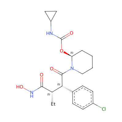 CC[C@H](C(=O)NO)[C@H](C(=O)N1CCCC[C@@H]1OC(=O)NC1CC1)c1ccc(Cl)cc1